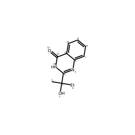 CCC(C)(O)c1nc2ccccc2c(=O)[nH]1